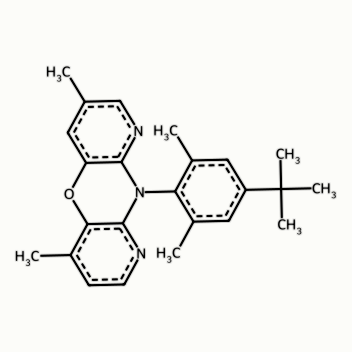 Cc1cnc2c(c1)Oc1c(C)ccnc1N2c1c(C)cc(C(C)(C)C)cc1C